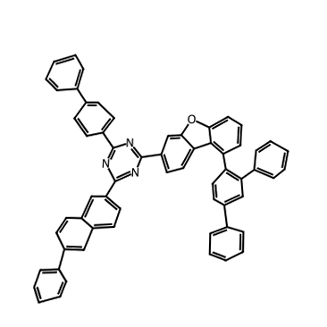 c1ccc(-c2ccc(-c3nc(-c4ccc5cc(-c6ccccc6)ccc5c4)nc(-c4ccc5c(c4)oc4cccc(-c6ccc(-c7ccccc7)cc6-c6ccccc6)c45)n3)cc2)cc1